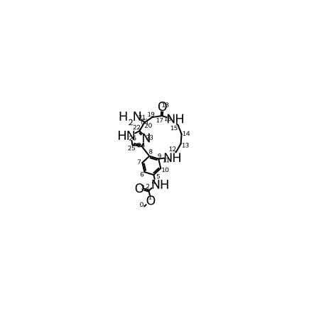 COC(=O)Nc1ccc2c(c1)NCCCCNC(=O)C[C@H](N)c1nc-2c[nH]1